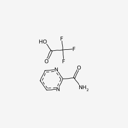 NC(=O)c1ncccn1.O=C(O)C(F)(F)F